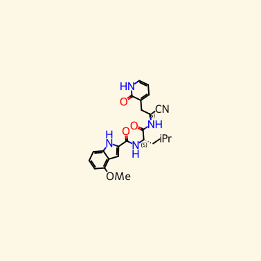 COc1cccc2[nH]c(C(=O)N[C@@H](CC(C)C)C(=O)N[C@H](C#N)Cc3ccc[nH]c3=O)cc12